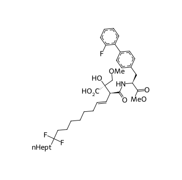 CCCCCCCC(F)(F)CCCCCC/C=C/[C@H](C(=O)N[C@@H](Cc1ccc(-c2ccccc2F)cc1)C(=O)OC)[C@@](O)(COC)C(=O)O